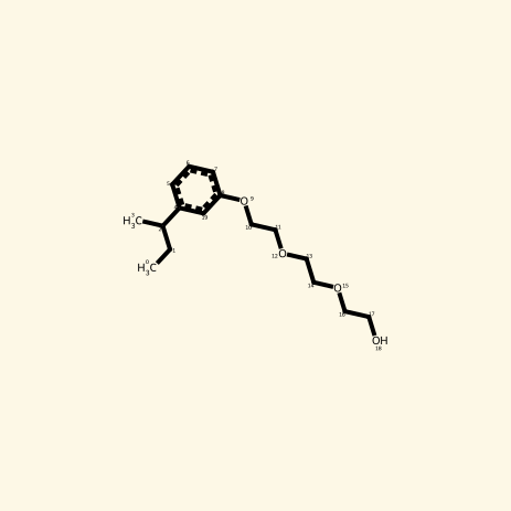 CCC(C)c1[c]ccc(OCCOCCOCCO)c1